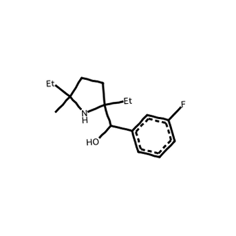 CCC1(C)CCC(CC)(C(O)c2cccc(F)c2)N1